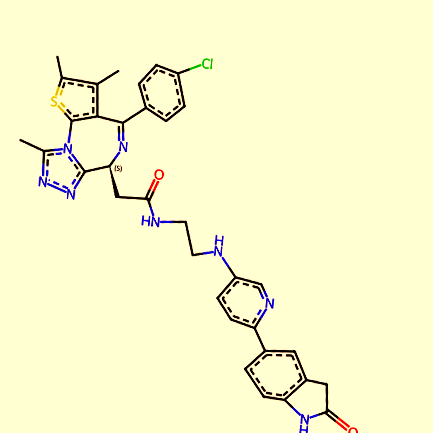 Cc1sc2c(c1C)C(c1ccc(Cl)cc1)=N[C@@H](CC(=O)NCCNc1ccc(-c3ccc4c(c3)CC(=O)N4)nc1)c1nnc(C)n1-2